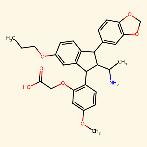 CCCOc1ccc2c(c1)C(c1ccc(OC)cc1OCC(=O)O)C(C(C)N)C2c1ccc2c(c1)OCO2